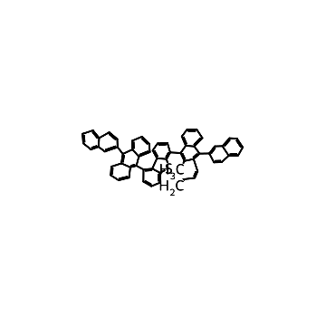 C=C/C=C\c1c(C)c(-c2cccc3c2sc2cccc(-c4c5ccccc5c(-c5ccc6ccccc6c5)c5ccccc45)c23)c2ccccc2c1-c1ccc2ccccc2c1